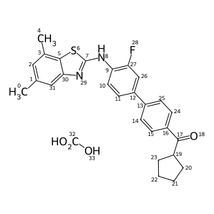 Cc1cc(C)c2sc(Nc3ccc(-c4ccc(C(=O)C5CCCC5)cc4)cc3F)nc2c1.O=C(O)O